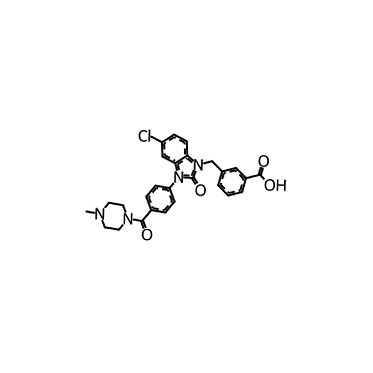 CN1CCN(C(=O)c2ccc(-n3c(=O)n(Cc4cccc(C(=O)O)c4)c4ccc(Cl)cc43)cc2)CC1